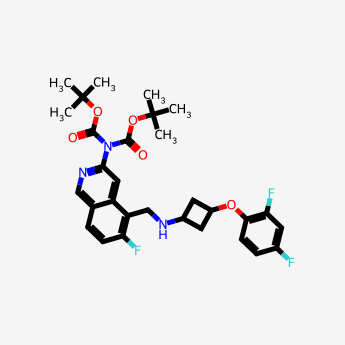 CC(C)(C)OC(=O)N(C(=O)OC(C)(C)C)c1cc2c(CNC3CC(Oc4ccc(F)cc4F)C3)c(F)ccc2cn1